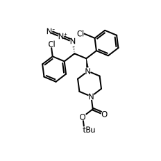 CC(C)(C)OC(=O)N1CCN([C@H](c2ccccc2Cl)[C@@H](N=[N+]=[N-])c2ccccc2Cl)CC1